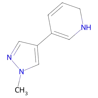 Cn1cc(C2=CNCC=C2)cn1